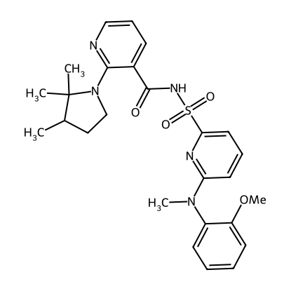 COc1ccccc1N(C)c1cccc(S(=O)(=O)NC(=O)c2cccnc2N2CCC(C)C2(C)C)n1